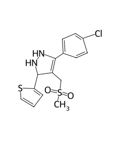 CS(=O)(=O)CC1=C(c2ccc(Cl)cc2)NNC1c1cccs1